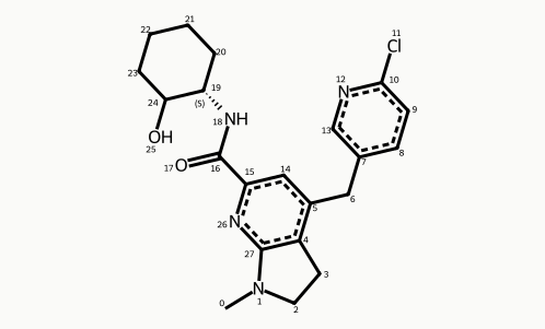 CN1CCc2c(Cc3ccc(Cl)nc3)cc(C(=O)N[C@H]3CCCCC3O)nc21